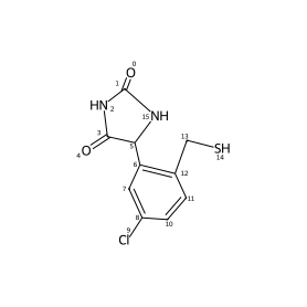 O=C1NC(=O)C(c2cc(Cl)ccc2CS)N1